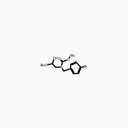 CC(C)COC(O)CN(Cc1ccc(Br)cc1)C(=O)OC(C)(C)C